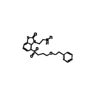 CCNCCn1c(=O)sc2cccc(S(=O)(=O)CCCOCCc3ccccc3)c21